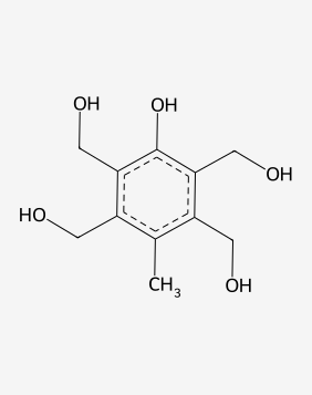 Cc1c(CO)c(CO)c(O)c(CO)c1CO